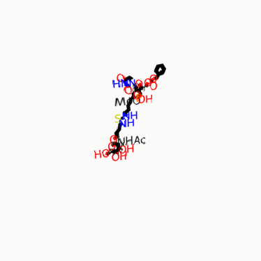 COP(=O)(O)CC1[C@@H](COC(=O)OCc2ccccc2)O[C@@H](n2ccc(=O)[nH]c2=O)[C@H]1CCCCCCCNC(=S)NCCCCO[C@@H]1O[C@H](CO)[C@H](O)[C@H](O)[C@H]1NC(C)=O